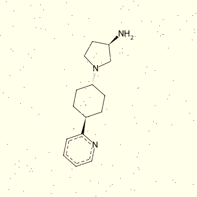 N[C@@H]1CCN([C@H]2CC[C@H](c3ccccn3)CC2)C1